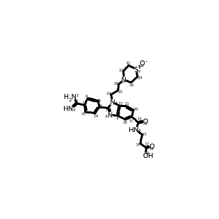 N=C(N)c1ccc(-c2nc3cc(C(=O)NCCC(=O)O)ccc3n2CCCN2CC[S+]([O-])CC2)cc1